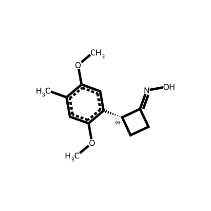 COc1cc([C@H]2CCC2=NO)c(OC)cc1C